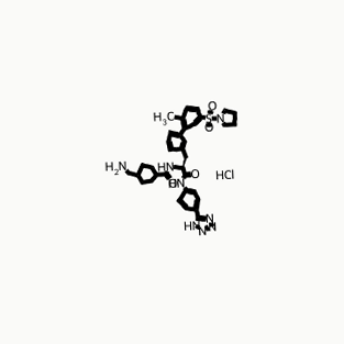 Cc1ccc(S(=O)(=O)N2CCCC2)cc1-c1cccc(C[C@H](NC(=O)C2CCC(CN)CC2)C(=O)Nc2ccc(-c3nnn[nH]3)cc2)c1.Cl